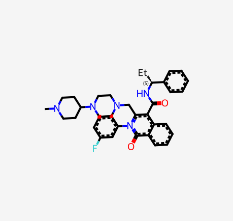 CC[C@H](NC(=O)c1c(CN2CCN(C3CCN(C)CC3)CC2)n(-c2cccc(F)c2)c(=O)c2ccccc12)c1ccccc1